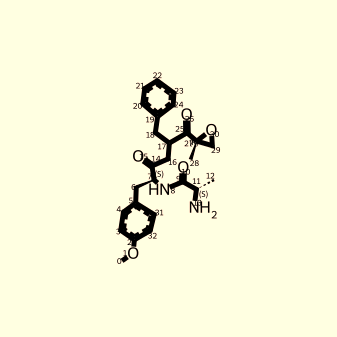 COc1ccc(C[C@H](NC(=O)[C@H](C)N)C(=O)CC(Cc2ccccc2)C(=O)[C@@]2(C)CO2)cc1